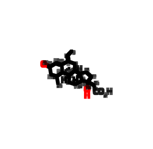 CC=C1C[C@@H]2[C@@H](CC[C@@]3(C)[C@H]2CCC3(O)CC(=O)O)[C@]2(C)C1=CC(=O)CC2C